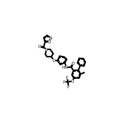 Cc1cc(OC(F)(F)F)cc(C(=O)Nc2cccc(OC3CCN(C(=O)c4ccno4)CC3)c2)c1-c1ccccc1